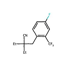 CCC(C#N)(CC)Cc1ccc(F)cc1C(F)(F)F